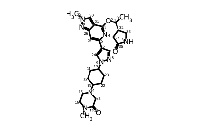 CC(Oc1nc(-c2cnn(C3CCC(N4CCN(C)C(=O)C4)CC3)c2)cc2nn(C)cc12)[C@H]1CNC(=O)C1